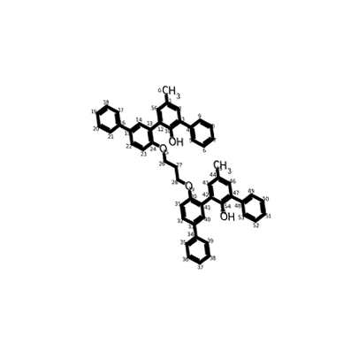 Cc1cc(-c2ccccc2)c(O)c(-c2cc(-c3ccccc3)ccc2OCCCOc2ccc(-c3ccccc3)cc2-c2cc(C)cc(-c3ccccc3)c2O)c1